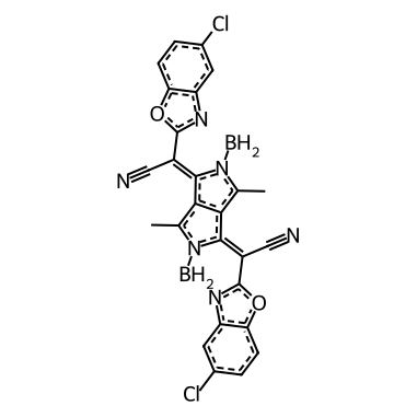 Bn1c(C)c2/c(=C(\C#N)c3nc4cc(Cl)ccc4o3)n(B)c(C)c2/c1=C(\C#N)c1nc2cc(Cl)ccc2o1